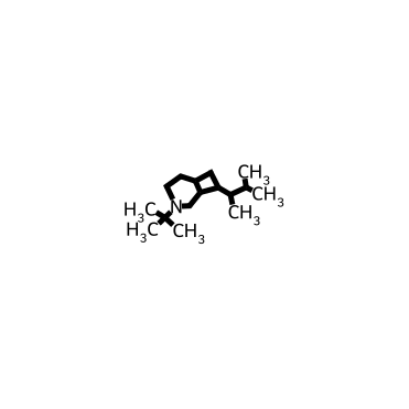 CC(C)C(C)C1CC2CCN(C(C)(C)C)CC21